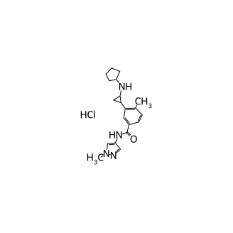 Cc1ccc(C(=O)Nc2cnn(C)c2)cc1C1CC1NC1CCCC1.Cl